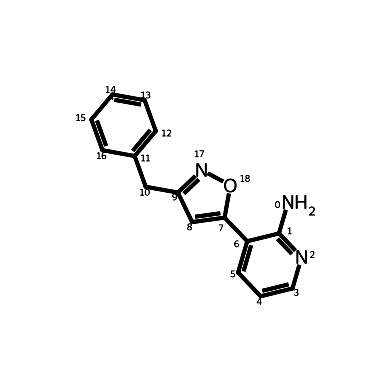 Nc1ncccc1-c1cc(Cc2cc[c]cc2)no1